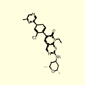 CCn1c(=O)c(C2=CCC(c3cncc(C)n3)C=C2Cl)cc2cnc(NC3C[C@@H](C)O[C@@H](C)C3)nc21